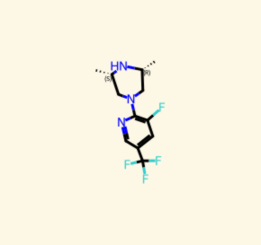 C[C@@H]1CN(c2ncc(C(F)(F)F)cc2F)C[C@H](C)N1